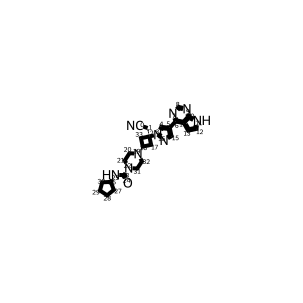 N#CC[C@]1(n2cc(-c3ncnc4[nH]ccc34)cn2)C[C@H](N2CCN(C(=O)NC3CCCC3)CC2)C1